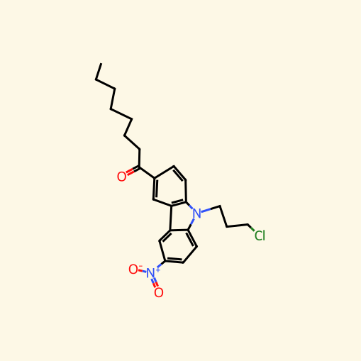 CCCCCCCC(=O)c1ccc2c(c1)c1cc([N+](=O)[O-])ccc1n2CCCCl